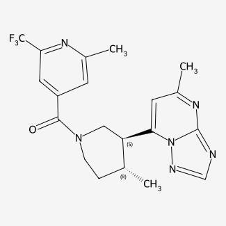 Cc1cc(C(=O)N2CC[C@@H](C)[C@H](c3cc(C)nc4ncnn34)C2)cc(C(F)(F)F)n1